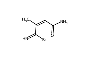 C/C(=C/C(N)=O)C(=N)Br